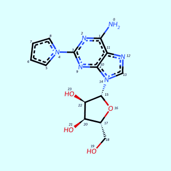 Nc1nc(-n2cccc2)nc2c1ncn2[C@@H]1O[C@H](CO)[C@@H](O)[C@H]1O